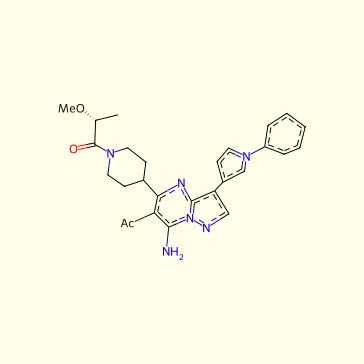 CO[C@H](C)C(=O)N1CCC(c2nc3c(-c4ccn(-c5ccccc5)c4)cnn3c(N)c2C(C)=O)CC1